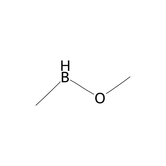 CBOC